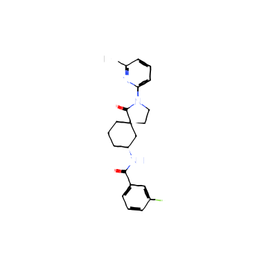 Cc1cccc(N2CC[C@@]3(CCC[C@H](NC(=O)c4cccc(F)c4)C3)C2=O)n1